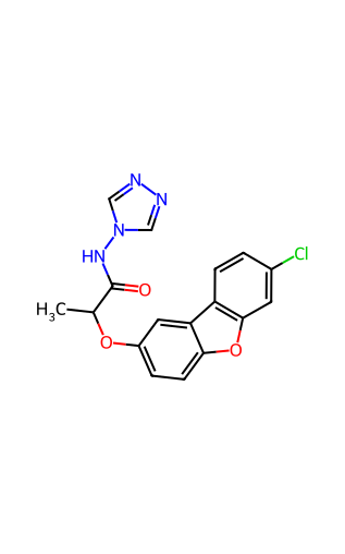 CC(Oc1ccc2oc3cc(Cl)ccc3c2c1)C(=O)Nn1cnnc1